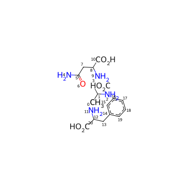 CC(N)C(=O)O.NC(=O)CC(N)C(=O)O.NC(Cc1ccccc1)C(=O)O